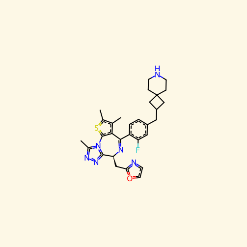 Cc1sc2c(c1C)C(c1ccc(CC3CC4(CCNCC4)C3)cc1F)=N[C@@H](Cc1ncco1)c1nnc(C)n1-2